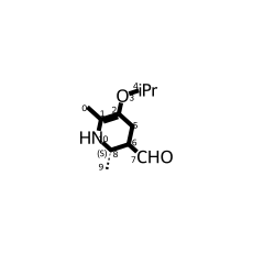 CC1=C(OC(C)C)CC(C=O)[C@H](C)N1